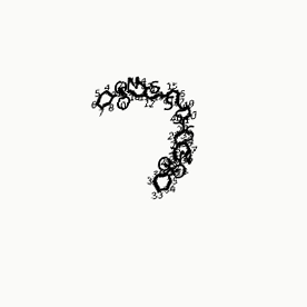 O=S(=O)(c1ccccc1)c1cc2cc(-c3ccc(-c4ccc(-c5cc6cc(S(=O)(=O)c7ccccc7)ncc6s5)s4)s3)sc2cn1